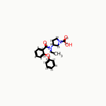 CCN(C(=O)c1ccccc1Oc1ccccc1)[C@H]1CCN(C(=O)O)C1